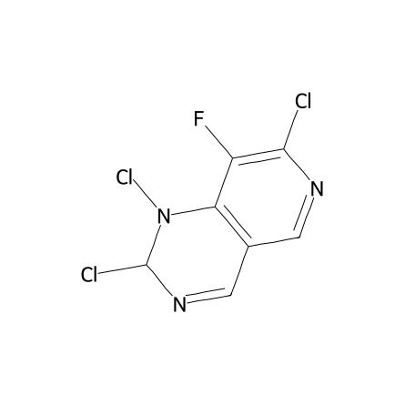 Fc1c(Cl)ncc2c1N(Cl)C(Cl)N=C2